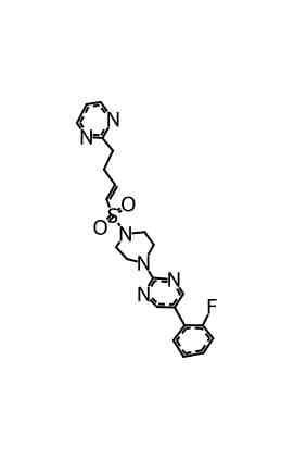 O=S(=O)(C=CCCc1ncccn1)N1CCN(c2ncc(-c3ccccc3F)cn2)CC1